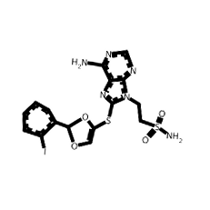 Nc1ncnc2c1nc(SC1=COC(c3ccccc3I)O1)n2CCS(N)(=O)=O